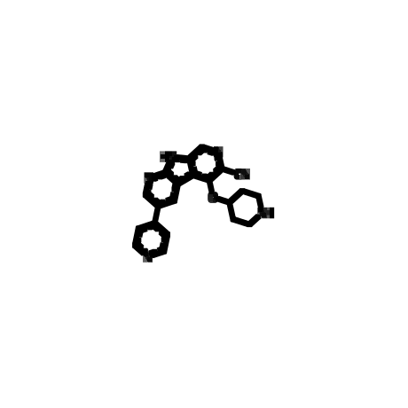 N#Cc1ncc2[nH]c3ncc(-c4ccncc4)cc3c2c1OC1CCNCC1